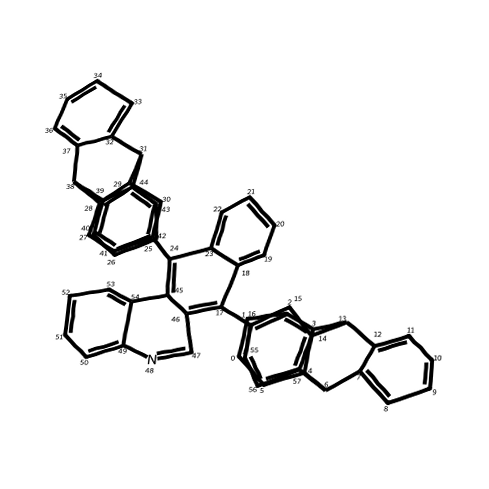 c1ccc2c(c1)C1c3ccccc3C2c2cc(-c3c4ccccc4c(-c4ccc5c(c4)C4c6ccccc6C5c5ccccc54)c4c3cnc3ccccc34)ccc21